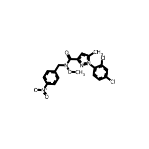 CON(Cc1ccc([N+](=O)[O-])cc1)C(=O)c1cc(C)n(-c2ccc(Cl)cc2Cl)n1